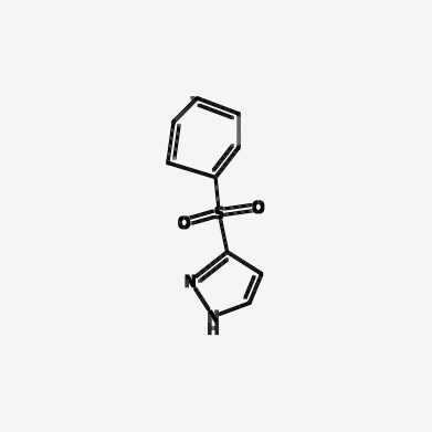 O=S(=O)(c1cc[c]cc1)c1cc[nH]n1